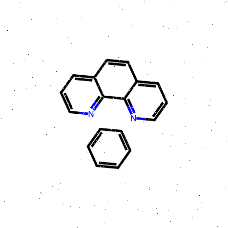 c1ccccc1.c1cnc2c(c1)ccc1cccnc12